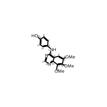 COc1cc2c(Nc3ccc(O)cc3)ncnc2c(OC)c1OC